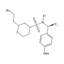 CCC(C)CCC1CC(S(=O)(=O)N(CC)[C@H](c2ccc(OC)cc2)C(F)(F)F)CCO1